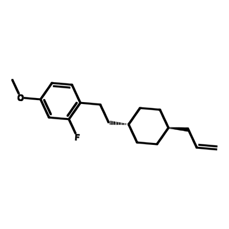 C=CC[C@H]1CC[C@H](CCc2ccc(OC)cc2F)CC1